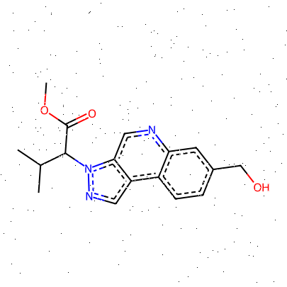 COC(=O)C(C(C)C)n1ncc2c3ccc(CO)cc3ncc21